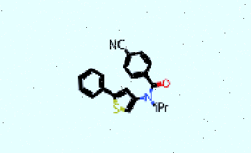 CC(C)N(C(=O)c1ccc(C#N)cc1)c1csc(-c2ccccc2)c1